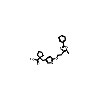 Cc1oc(-c2ccccc2)nc1CCOc1ccc(CC2(C(=O)O)CCCC2)cn1